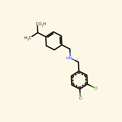 CC(C(=O)O)C1=CC=C(CNCc2ccc(Cl)c(Cl)c2)CC1